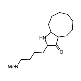 CNCCCCC1NC2CCCCCCCC2C1=O